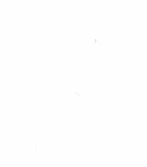 CCC(CC)NC(=O)C1=CC2(CCN(CCC(C)CCCC(C)(C)OC)CC2)c2ccccc21